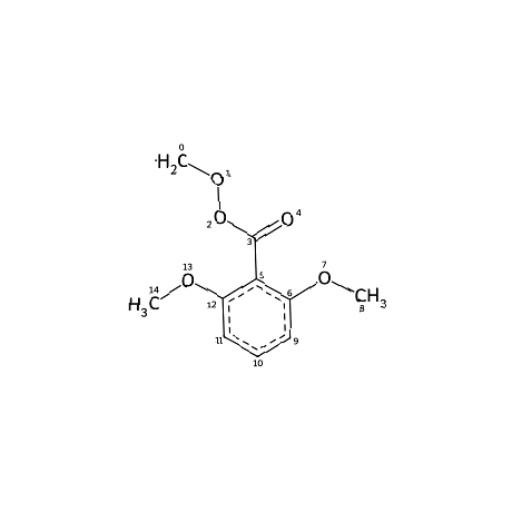 [CH2]OOC(=O)c1c(OC)cccc1OC